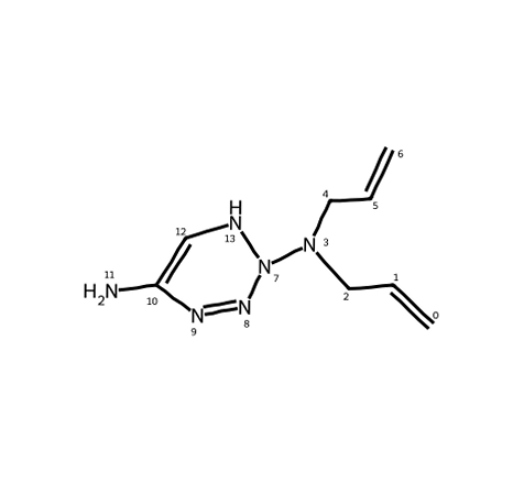 C=CCN(CC=C)N1N=NC(N)=CN1